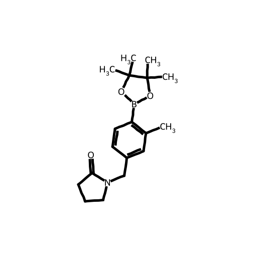 Cc1cc(CN2CCCC2=O)ccc1B1OC(C)(C)C(C)(C)O1